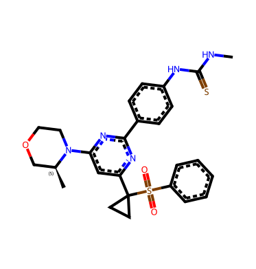 CNC(=S)Nc1ccc(-c2nc(N3CCOC[C@@H]3C)cc(C3(S(=O)(=O)c4ccccc4)CC3)n2)cc1